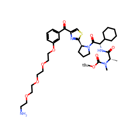 C[C@@H](C(=O)N[C@H](C(=O)N1CCC[C@H]1c1nc(C(=O)c2cccc(OCCOCCOCCOCCN)c2)cs1)C1CCCCC1)N(C)C(=O)OC(C)(C)C